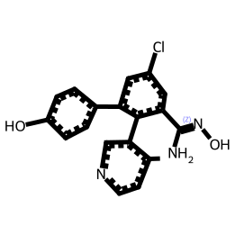 Cc1ccncc1-c1c(/C(N)=N/O)cc(Cl)cc1-c1ccc(O)cc1